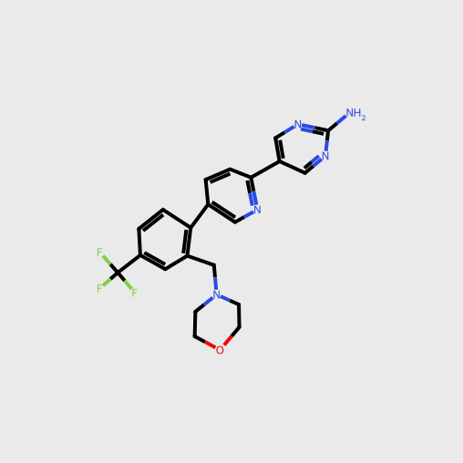 Nc1ncc(-c2ccc(-c3ccc(C(F)(F)F)cc3CN3CCOCC3)cn2)cn1